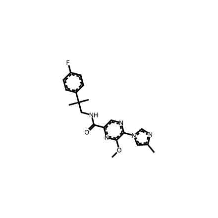 COc1nc(C(=O)NCC(C)(C)c2ccc(F)cc2)cnc1-n1cnc(C)c1